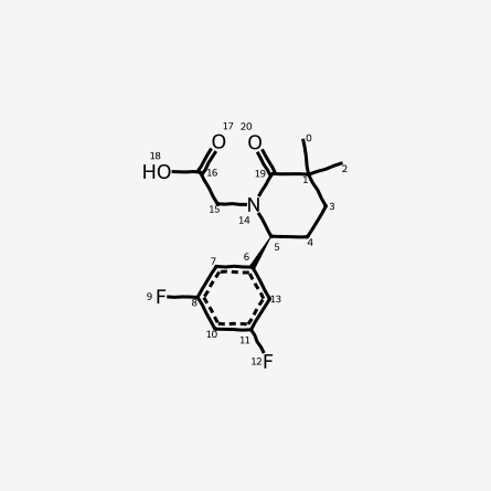 CC1(C)CC[C@@H](c2cc(F)cc(F)c2)N(CC(=O)O)C1=O